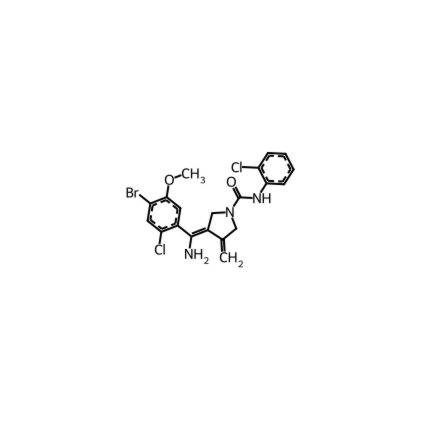 C=C1CN(C(=O)Nc2ccccc2Cl)C/C1=C(/N)c1cc(OC)c(Br)cc1Cl